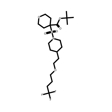 CC(C)(C)OC(=O)C1(S(=O)(=O)N2CCC(CCOCCCC(F)(F)F)CC2)CCOCC1